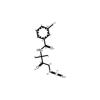 CC(C)(NC(=O)c1cccc(I)c1)C(=O)CN=C=S